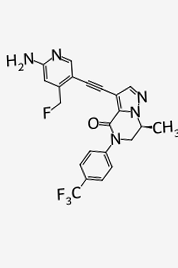 C[C@H]1CN(c2ccc(C(F)(F)F)cc2)C(=O)c2c(C#Cc3cnc(N)cc3CF)cnn21